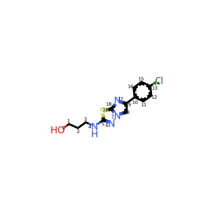 OCCCNc1nn2cc(-c3ccc(Cl)cc3)nc2s1